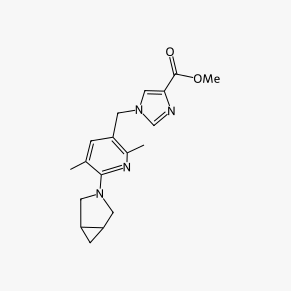 COC(=O)c1cn(Cc2cc(C)c(N3CC4CC4C3)nc2C)cn1